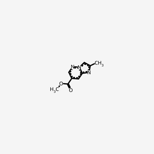 COC(=O)c1cnn2cc(C)nc2c1